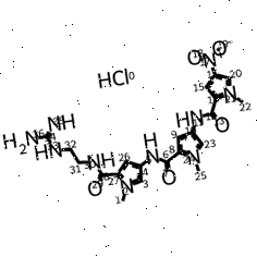 Cl.Cn1cc(NC(=O)c2cc(NC(=O)c3cc([N+](=O)[O-])cn3C)cn2C)cc1C(=O)NCCNC(=N)N